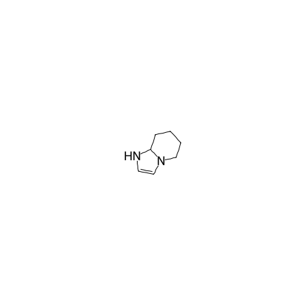 C1=CN2CCCCC2N1